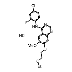 CCOCCOc1cc2ncnc(Nc3ccc(Cl)cc3F)c2cc1OC.Cl